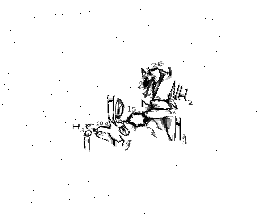 Cc1ccc(S(=O)(=O)NCCC(C)(C)O)cc1-c1cnc(N)c(-n2cncn2)n1